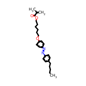 C=C(C)C(=O)OCCCCCCOc1ccc(N=Nc2ccc(CCCCC)cc2)cc1